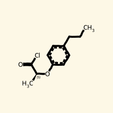 CCCc1ccc(O[C@@H](C)C(=O)Cl)cc1